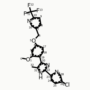 COc1cc(OCc2ccc(C(F)(F)F)nc2)ccc1-c1nc(-c2ccc(Cl)cn2)[nH]c1C